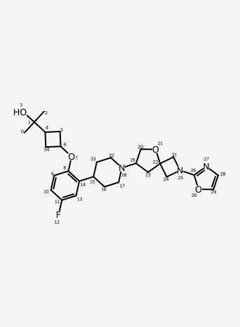 CC(C)(O)C1CC(Oc2ccc(F)cc2C2CCN(C3COC4(C3)CN(c3ncco3)C4)CC2)C1